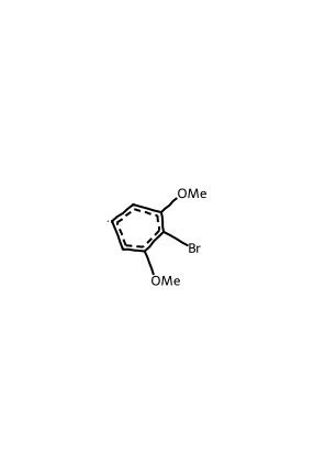 COc1c[c]cc(OC)c1Br